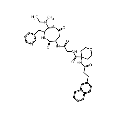 CCN(C)/C1=N/C(=O)CC(NC(=O)CNC(=O)C2(NC(=O)CCc3ccc4ccccc4c3)CCOCC2)C(=O)N[C@H]1Cc1cccnc1